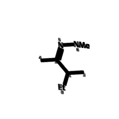 CCC(C)/C(C)=N\NC